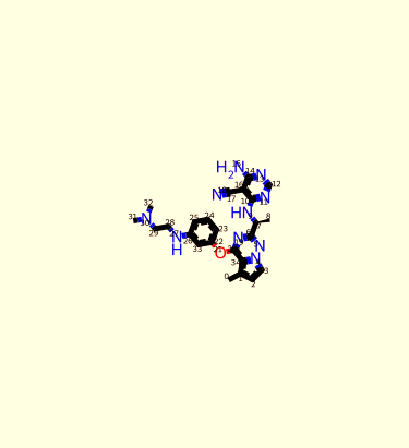 Cc1ccn2nc([C@H](C)Nc3ncnc(N)c3C#N)nc(Oc3cccc(NCCN(C)C)c3)c12